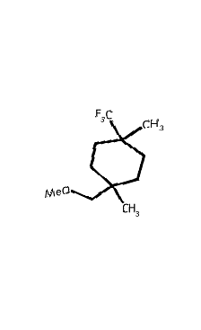 COCC1(C)CCC(C)(C(F)(F)F)CC1